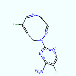 Nc1nc(N2C/C=C(F)\C=N/C/C=N\2)ncc1F